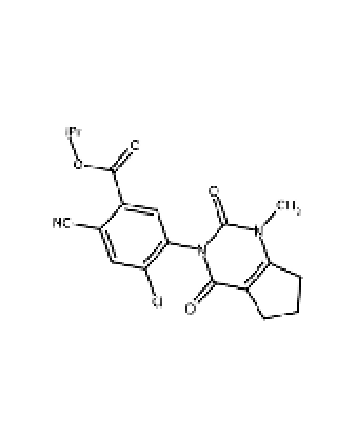 CC(C)OC(=O)c1cc(-n2c(=O)c3c(n(C)c2=O)CCC3)c(Cl)cc1C#N